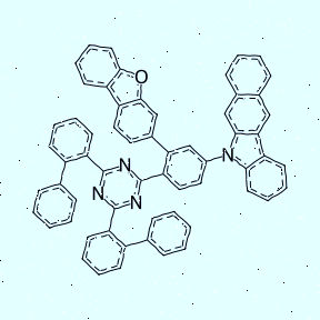 c1ccc(-c2ccccc2-c2nc(-c3ccccc3-c3ccccc3)nc(-c3ccc(-n4c5ccccc5c5cc6ccccc6cc54)cc3-c3ccc4c(c3)oc3ccccc34)n2)cc1